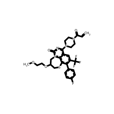 C=CC(=O)N1CCN(c2nc(=O)n3c4c(c(-c5ccc(F)cc5)c(C(F)(F)F)cc24)SCC(OCCOC)C3)CC1